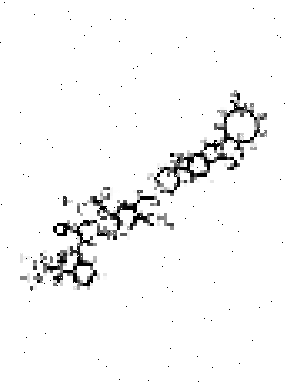 Cc1cc(Nc2ncc(Cl)c(Nc3ccccc3S(=O)(=O)C(C)C)n2)c(OC(C)C)cc1CCN1CCC(O)(c2ccc3c(c2)CN(C2CCC(=O)CCCCC2=O)C3=O)CC1